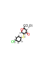 CCOC(=O)c1cc(=O)c(Sc2ccc(Cl)cc2)co1